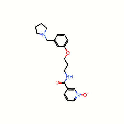 O=C(NCCCOc1cccc(CN2CCCC2)c1)c1ccc[n+]([O-])c1